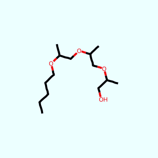 CCCCCOC(C)COC(C)COC(C)CO